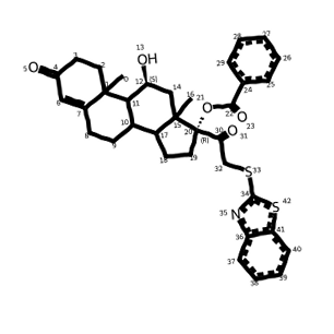 CC12CCC(=O)C=C1CCC1C2[C@@H](O)CC2(C)C1CC[C@]2(OC(=O)c1ccccc1)C(=O)CSc1nc2ccccc2s1